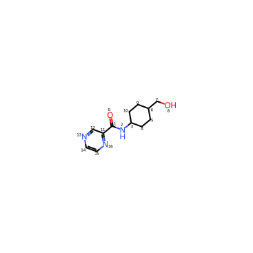 O=C(NC1CCC(CO)CC1)c1cnccn1